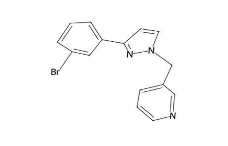 Brc1cccc(-c2ccn(Cc3cccnc3)n2)c1